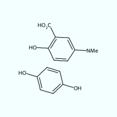 CNc1ccc(O)c(C(=O)O)c1.Oc1ccc(O)cc1